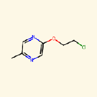 Cc1cnc(OCCCl)cn1